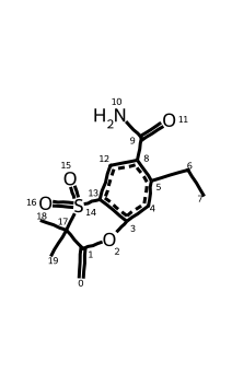 C=C1Oc2cc(CC)c(C(N)=O)cc2S(=O)(=O)C1(C)C